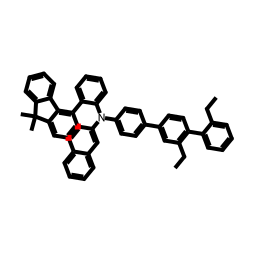 CCc1ccccc1-c1ccc(-c2ccc(N(c3ccc4ccccc4c3)c3ccccc3-c3cccc4c3-c3ccccc3C4(C)C)cc2)cc1CC